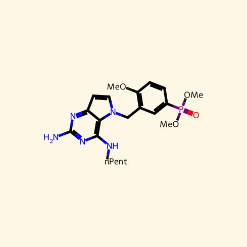 CCCCCNc1nc(N)nc2ccn(Cc3cc(P(=O)(OC)OC)ccc3OC)c12